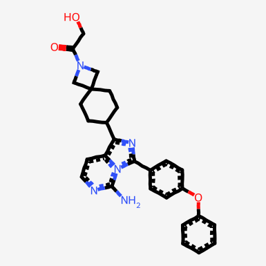 Nc1nccc2c(C3CCC4(CC3)CN(C(=O)CO)C4)nc(-c3ccc(Oc4ccccc4)cc3)n12